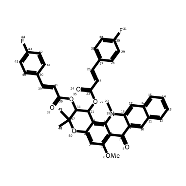 COc1cc2c(c3c1c(=O)c1cc4ccccc4cc1n3C)C(OC(=O)/C=C/c1ccc(F)cc1)C(OC(=O)/C=C/c1ccc(F)cc1)C(C)(C)O2